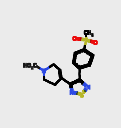 CS(=O)(=O)c1ccc(-c2nsnc2C2=CCN(C(=O)O)CC2)cc1